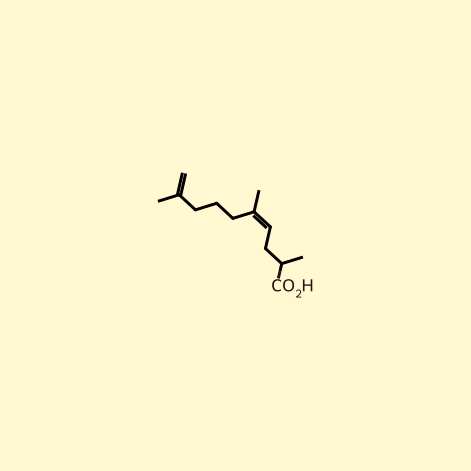 C=C(C)CCC/C(C)=C\CC(C)C(=O)O